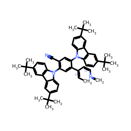 C=N/C=C\C(=C/C)c1cc(-n2c3ccc(C(C)(C)C)cc3c3cc(C(C)(C)C)ccc32)c(C#N)cc1-n1c2ccc(C(C)(C)C)cc2c2cc(C(C)(C)C)ccc21